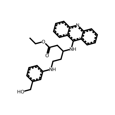 CCOC(=O)CC(CCNc1cccc(CO)c1)Nc1c2ccccc2nc2ccccc12